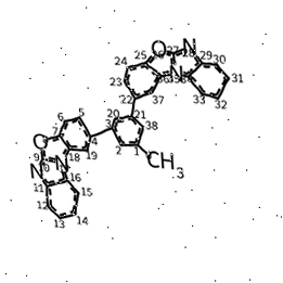 Cc1cc(-c2ccc3oc4nc5ccccc5n4c3c2)cc(-c2ccc3oc4nc5ccccc5n4c3c2)c1